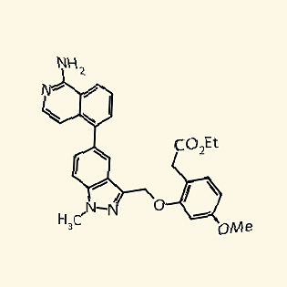 CCOC(=O)Cc1ccc(OC)cc1OCc1nn(C)c2ccc(-c3cccc4c(N)nccc34)cc12